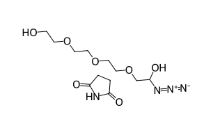 O=C1CCC(=O)N1.[N-]=[N+]=NC(O)COCCOCCOCCO